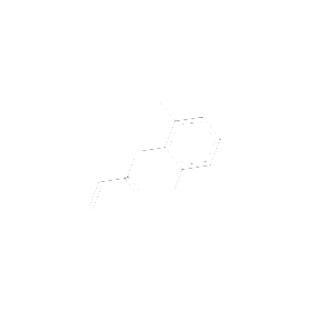 C=CC(=O)Oc1c(C)cccc1I